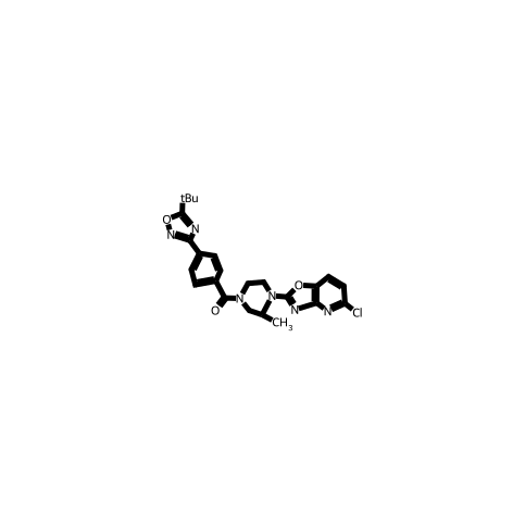 CC1CN(C(=O)c2ccc(-c3noc(C(C)(C)C)n3)cc2)CCN1c1nc2nc(Cl)ccc2o1